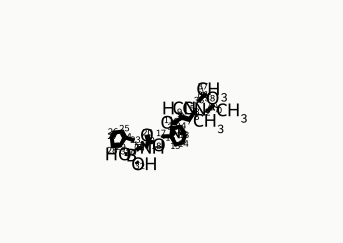 C[C@@H]1CN(C(C)(C)C=C(C#N)C(=O)N2C3CCC2(COC(=O)N[C@@H](Cc2ccccc2)B(O)O)CC3)C[C@H](C)O1